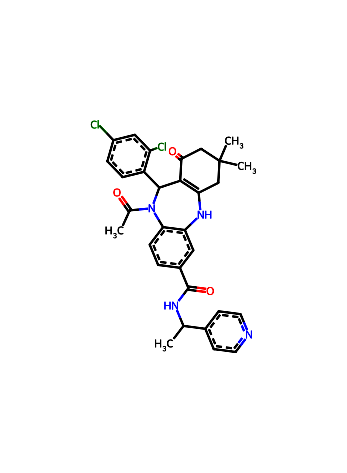 CC(=O)N1c2ccc(C(=O)NC(C)c3ccncc3)cc2NC2=C(C(=O)CC(C)(C)C2)C1c1ccc(Cl)cc1Cl